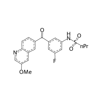 CCCS(=O)(=O)Nc1cc(F)cc(C(=O)c2ccc3ncc(OC)cc3c2)c1